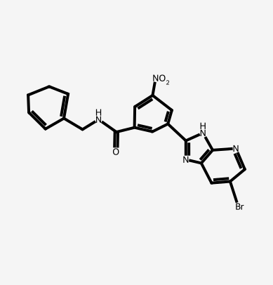 O=C(NCC1=CCCC=C1)c1cc(-c2nc3cc(Br)cnc3[nH]2)cc([N+](=O)[O-])c1